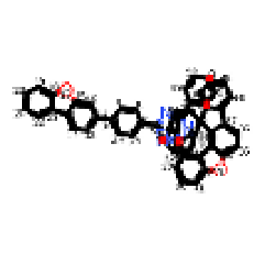 c1ccc(-c2nc(-c3ccc(-c4ccc5c(c4)oc4ccccc45)cc3)nc(-c3cccc4oc5ccc6c(c5c34)C3(c4ccccc4-6)C4CC5CC(C4)CC3C5)n2)cc1